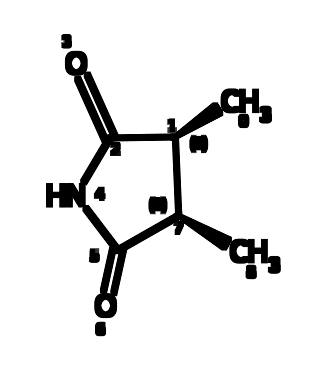 C[C@@H]1C(=O)NC(=O)[C@@H]1C